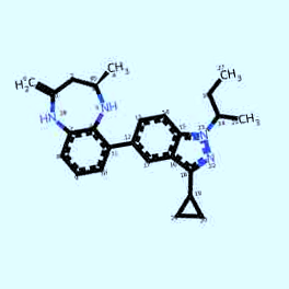 C=C1C[C@@H](C)Nc2c(cccc2-c2ccc3c(c2)c(C2CC2)nn3C(C)CC)N1